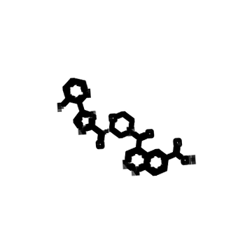 O=C(O)c1ccc2nncc(C(=O)N3CCO[C@@H](C(=O)c4ncc(-c5ncccc5F)s4)C3)c2c1